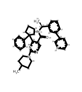 CC1CCN(c2ncc(C(=O)N[C@@H](C)c3cccc(-c4cccnc4)c3)c(C3(c4ccccc4)CCCC3)n2)CC1